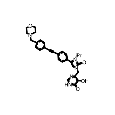 CC(C)n1c(-c2ccc(C#Cc3ccc(CN4CCOCC4)cc3)cc2)cn(Cc2nc[nH]c(=O)c2O)c1=O